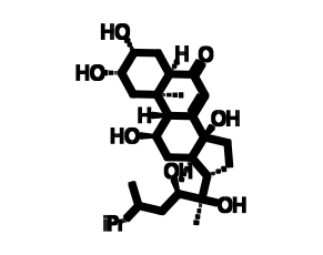 CC(C)C(C)C[C@@H](O)[C@](C)(O)[C@H]1CC[C@@]2(O)C3=CC(=O)[C@@H]4C[C@@H](O)[C@@H](O)C[C@]4(C)[C@H]3[C@H](O)C[C@]12C